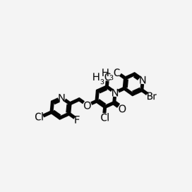 Cc1cnc(Br)cc1-n1c(C)cc(OCc2ncc(Cl)cc2F)c(Cl)c1=O